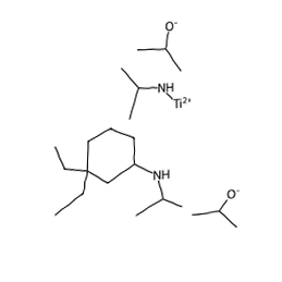 CC(C)[NH][Ti+2].CC(C)[O-].CC(C)[O-].CCC1(CC)CCCC(NC(C)C)C1